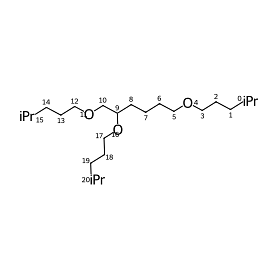 CC(C)CCCOCCCCC(COCCCC(C)C)OCCCC(C)C